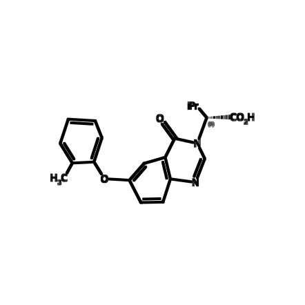 Cc1ccccc1Oc1ccc2ncn([C@@H](C(=O)O)C(C)C)c(=O)c2c1